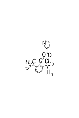 CC(C)c1cccc(C(C)C2CC2)c1OCOC(=O)c1cccnc1